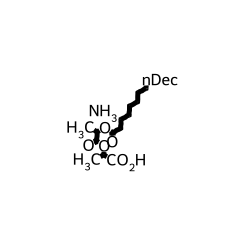 CCCCCCCCCCCCCCCCCC(=O)OC(C)C(=O)OC(C)C(=O)O.N